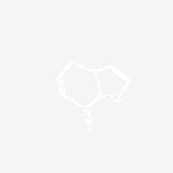 C=C1C=CCC2C=COC12